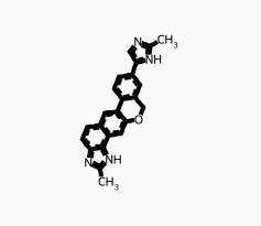 Cc1ncc(-c2ccc3c(c2)COc2cc4c(ccc5nc(C)[nH]c54)cc2-3)[nH]1